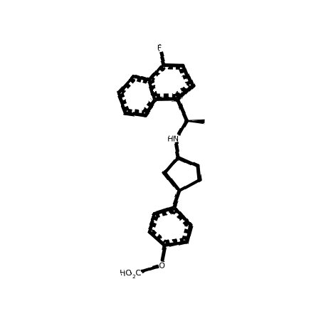 C[C@@H](NC1CCC(c2ccc(OC(=O)O)cc2)C1)c1ccc(F)c2ccccc12